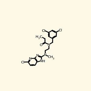 CCC(=O)N(CCN(C)c1nc2nc(Cl)ccc2[nH]1)Cc1cc(Cl)cc(Cl)c1